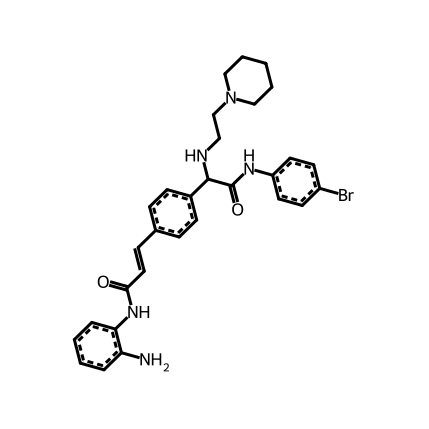 Nc1ccccc1NC(=O)/C=C/c1ccc(C(NCCN2CCCCC2)C(=O)Nc2ccc(Br)cc2)cc1